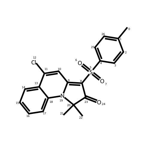 Cc1ccc(S(=O)(=O)C2=C3C=C(Cl)c4ccccc4N3C(C)(C)C2=O)cc1